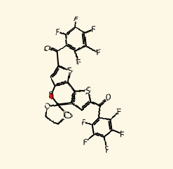 O=C(c1cc2c(s1)-c1sc(C(=O)c3c(F)c(F)c(F)c(F)c3F)cc1C1(OCCO1)C21OCCO1)c1c(F)c(F)c(F)c(F)c1F